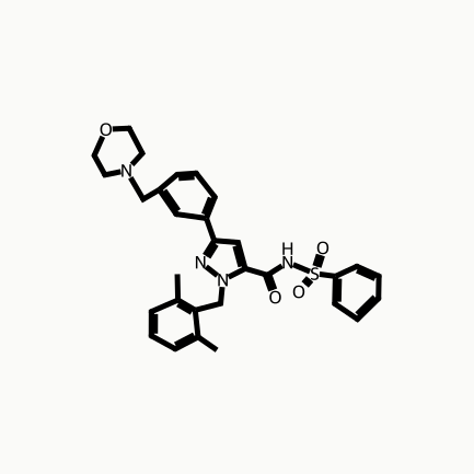 Cc1cccc(C)c1Cn1nc(-c2cccc(CN3CCOCC3)c2)cc1C(=O)NS(=O)(=O)c1ccccc1